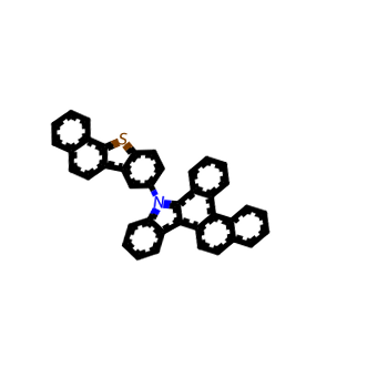 c1ccc2c(c1)ccc1c3cc(-n4c5ccccc5c5c6ccc7ccccc7c6c6ccccc6c54)ccc3sc21